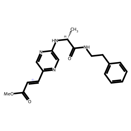 COC(=O)/C=C/c1cnc(N[C@H](C)C(=O)NCCc2ccccc2)cn1